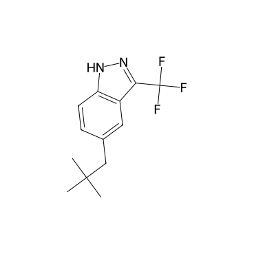 CC(C)(C)Cc1ccc2[nH]nc(C(F)(F)F)c2c1